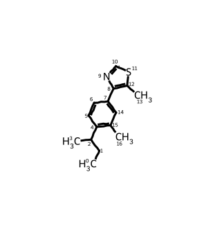 CCC(C)c1ccc(-c2n[c]sc2C)cc1C